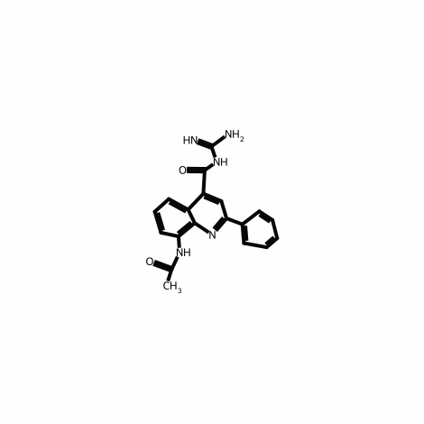 CC(=O)Nc1cccc2c(C(=O)NC(=N)N)cc(-c3ccccc3)nc12